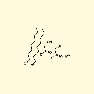 CCCCCCCC[O-].CCCCCCCC[O-].O=C([O-])CO.O=C([O-])CO.[Ti+4]